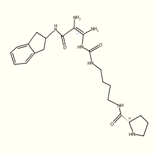 N/C(NC(=O)NCCCCNC(=O)[C@@H]1CCCN1)=C(\N)C(=O)NC1Cc2ccccc2C1